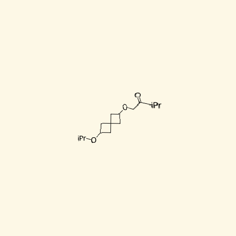 CC(C)OC1CC2(CC(OCC(=O)C(C)C)C2)C1